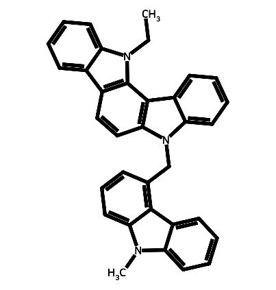 CCn1c2ccccc2c2ccc3c(c4ccccc4n3Cc3cccc4c3c3ccccc3n4C)c21